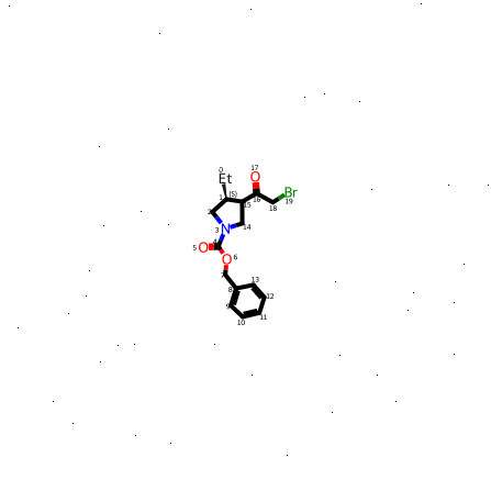 CC[C@@H]1CN(C(=O)OCc2ccccc2)CC1C(=O)CBr